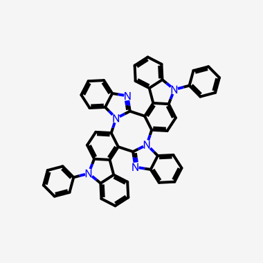 c1ccc(-n2c3ccccc3c3c4c(ccc32)n2c3ccccc3nc2c2c3c5ccccc5n(-c5ccccc5)c3ccc2n2c3ccccc3nc42)cc1